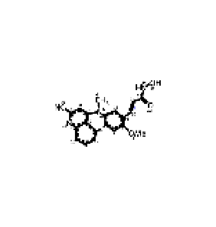 COc1ccc(N(C)c2cc(C#N)nc3ccccc23)cc1/C=C/C(=O)NO